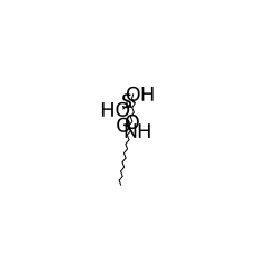 CCCCCCCCCCCCNC(=O)OCCc1cc(O)sc1O